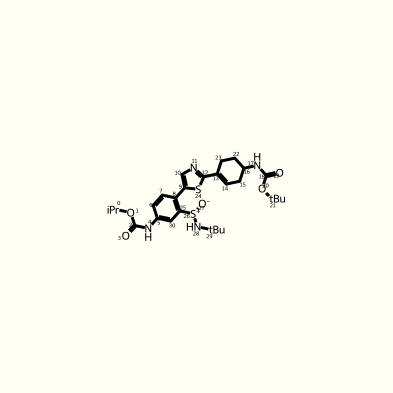 CC(C)OC(=O)Nc1ccc(-c2cnc(C3=CCC(NC(=O)OC(C)(C)C)CC3)s2)c([S+]([O-])NC(C)(C)C)c1